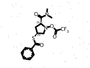 CN(C)C(=O)[C@@H]1C[C@H](SC(=O)c2ccccc2)CN1OC(=O)C(F)(F)F